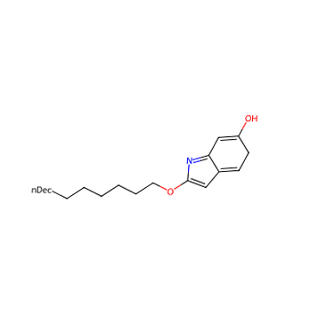 CCCCCCCCCCCCCCCCOC1=CC2=CCC(O)=CC2=N1